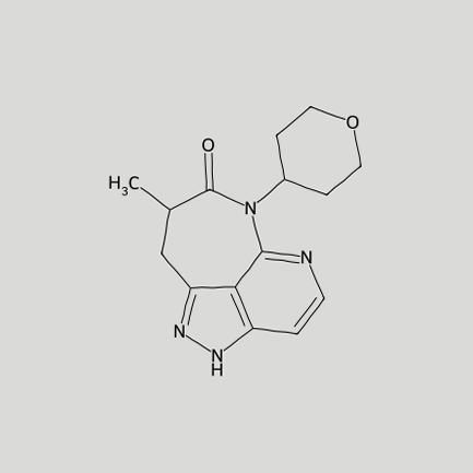 CC1Cc2n[nH]c3ccnc(c23)N(C2CCOCC2)C1=O